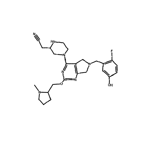 CN1CCCC1COc1nc2c(c(N3CCNC(CC#N)C3)n1)CN(Cc1cc(O)ccc1F)C2